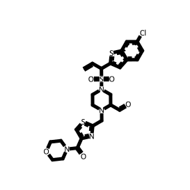 C=CC(c1cc2ccc(Cl)cc2s1)S(=O)(=O)N1CCN(Cc2nc(C(=O)N3CCOCC3)cs2)C(C=O)C1